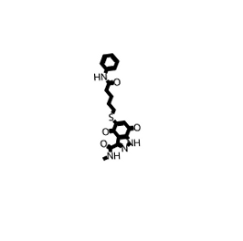 CNC(=O)c1n[nH]c2c1C(=O)C(SCCCCC(=O)Nc1ccccc1)=CC2=O